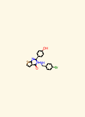 O=c1c2ccsc2nc(-c2ccc(O)cc2)n1NCc1ccc(Br)cc1